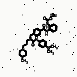 CC1CCN(CCCN(Cc2ccc(C(=O)Nc3ccccc3NC(=O)OC(C)(C)C)cc2)C(=O)Nc2ccc(N(C)C)cc2)CC1